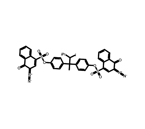 CC(C)C(I)C(C)(c1ccc(OS(=O)(=O)C2=CC(=[N+]=[N-])C(=O)c3ccccc32)cc1)c1ccc(OS(=O)(=O)C2=CC(=[N+]=[N-])C(=O)c3ccccc32)cc1